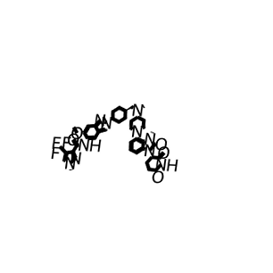 COc1cc2nn([C@H]3CC[C@H](CN(C)C4CCN(c5cccc6c5n(C)c(=O)n6C5CCC(=O)NC5=O)CC4)CC3)cc2cc1NC(=O)c1nn(C)cc1C(F)(F)F